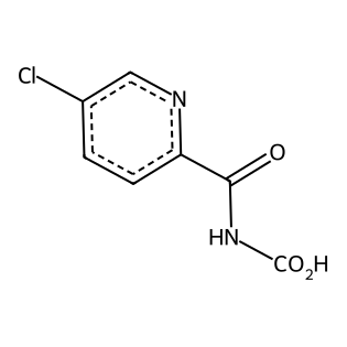 O=C(O)NC(=O)c1ccc(Cl)cn1